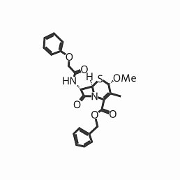 CO[C@H]1S[C@@H]2[C@@H](NC(=O)COc3ccccc3)C(=O)N2C(C(=O)OCc2ccccc2)=C1C